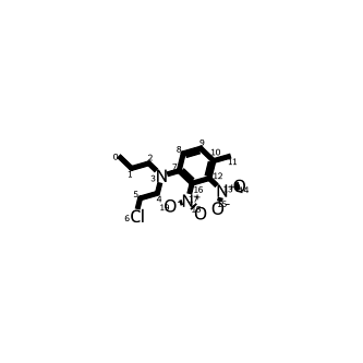 CCCN(CCCl)c1ccc(C)c([N+](=O)[O-])c1[N+](=O)[O-]